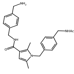 CC(=O)NCc1ccc(Cn2c(C)cc(C(=O)NCc3ccc(CN)cc3)c2C)cc1